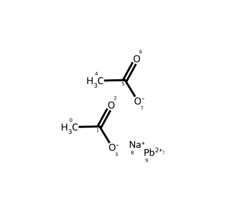 CC(=O)[O-].CC(=O)[O-].[Na+].[Pb+2]